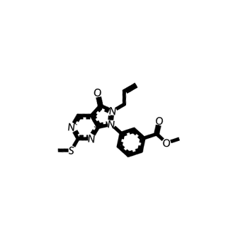 C=CCn1c(=O)c2cnc(SC)nc2n1-c1cccc(C(=O)OC)c1